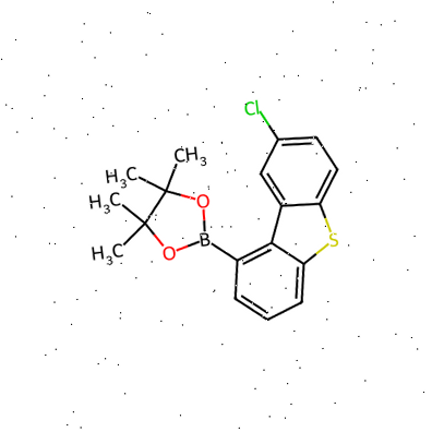 CC1(C)OB(c2cccc3sc4ccc(Cl)cc4c23)OC1(C)C